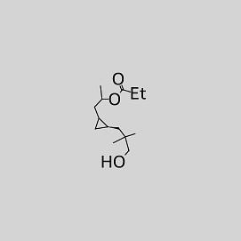 CCC(=O)OC(C)CC1C[C@@H]1CC(C)(C)CO